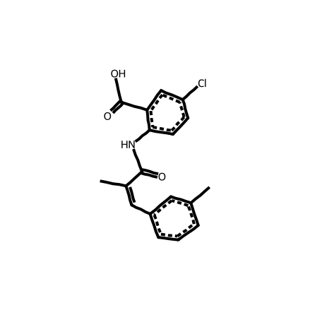 CC(=Cc1cccc(C)c1)C(=O)Nc1ccc(Cl)cc1C(=O)O